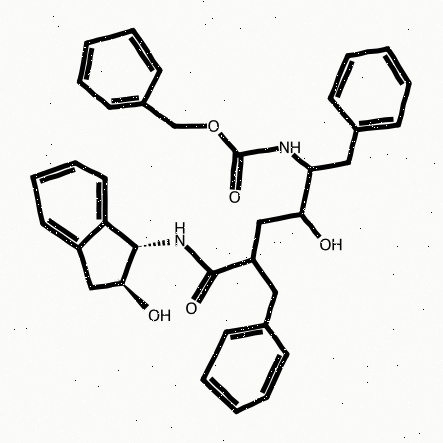 O=C(NC(Cc1ccccc1)C(O)CC(Cc1ccccc1)C(=O)N[C@H]1c2ccccc2C[C@@H]1O)OCc1ccccc1